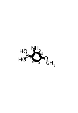 COc1ccc(B(O)O)c(N)c1